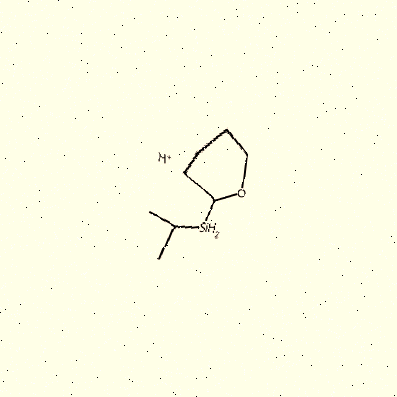 CC(C)[SiH2]C1CCCCO1.[H+]